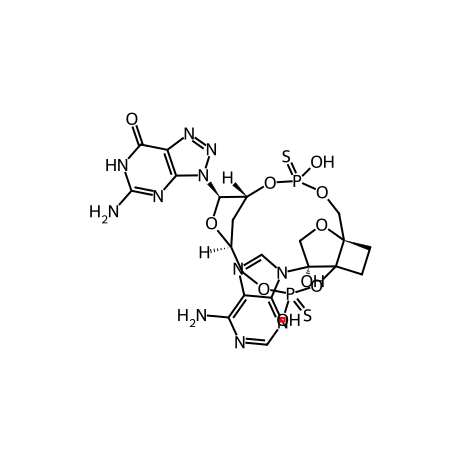 Nc1nc2c(nnn2[C@@H]2O[C@@H]3COP(O)(=S)OC45CC[C@]4(COP(O)(=S)O[C@@H]2C3)OC[C@]5(O)n2cnc3c(N)ncnc32)c(=O)[nH]1